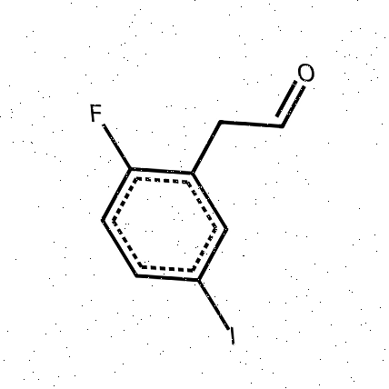 O=CCc1cc(I)ccc1F